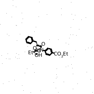 CCOC(=O)c1ccc(NC(=O)[C@H](Cc2ccccc2)OP(=O)(O)CC)cc1